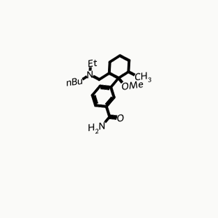 CCCCN(CC)CC1CCCC(C)C1(OC)c1cccc(C(N)=O)c1